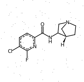 O=C(NC1CN2CC[C@H]1C2)c1ccc(Cl)c(F)n1